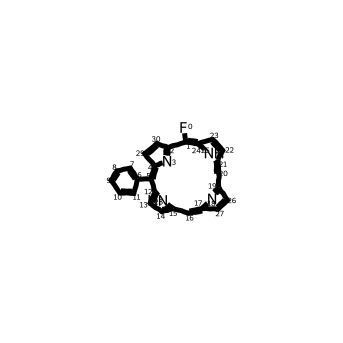 Fc1c2nc(c(-c3ccccc3)c3ccc(cc4nc(cc5ccc1[nH]5)C=C4)[nH]3)C=C2